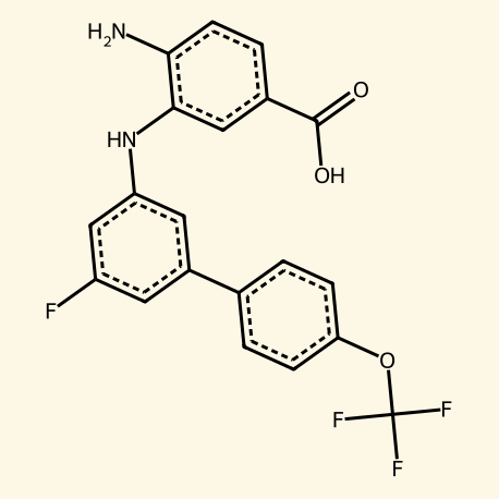 Nc1ccc(C(=O)O)cc1Nc1cc(F)cc(-c2ccc(OC(F)(F)F)cc2)c1